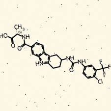 C[C@H](NC(=O)c1ccc2c3c([nH]c2c1)CCC(NC(=O)Nc1ccc(Cl)c(C(F)(F)F)c1)C3)C(=O)O